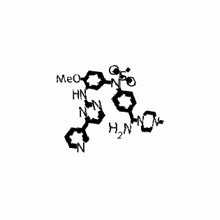 COc1ccc(N(c2ccc(C(N)N3CCN(C)CC3)cc2)S(C)(=O)=O)cc1Nc1nccc(-c2cccnc2)n1